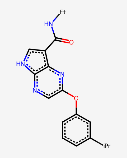 CCNC(=O)c1c[nH]c2ncc(Oc3cccc(C(C)C)c3)nc12